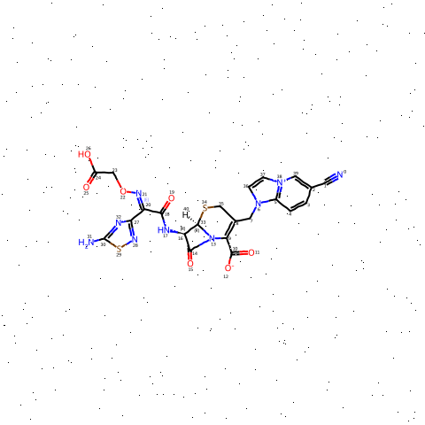 N#Cc1ccc2n(CC3=C(C(=O)[O-])N4C(=O)[C@@H](NC(=O)/C(=N/OCC(=O)O)c5nsc(N)n5)[C@H]4SC3)cc[n+]2c1